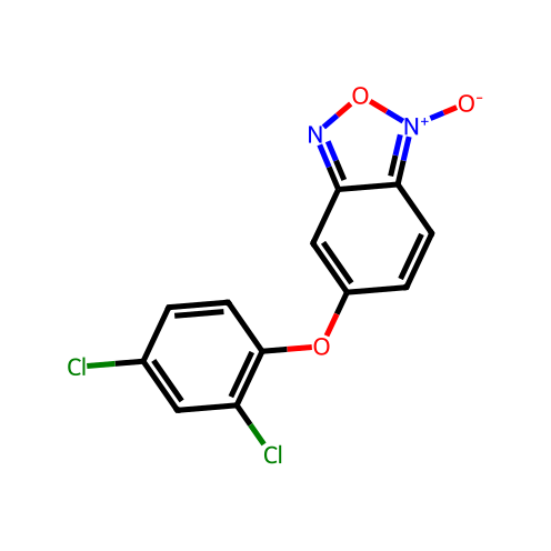 [O-][n+]1onc2cc(Oc3ccc(Cl)cc3Cl)ccc21